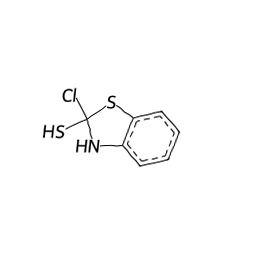 SC1(Cl)Nc2ccccc2S1